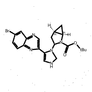 CC(C)(C)OC(=O)N1C(N2CNC=C2c2cnc3cc(Br)ccc3n2)C[C@H]2C[C@H]21